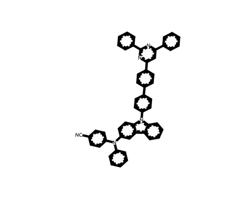 N#Cc1ccc(N(c2ccccc2)c2ccc3c(c2)c2ccccc2n3-c2ccc(-c3ccc(-c4cc(-c5ccccc5)nc(-c5ccccc5)n4)cc3)cc2)cc1